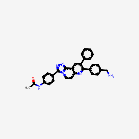 CC(=O)Nc1ccc(-c2nnc3c4cc(-c5ccccc5)c(-c5ccc(CN)cc5)nc4ccn23)cc1